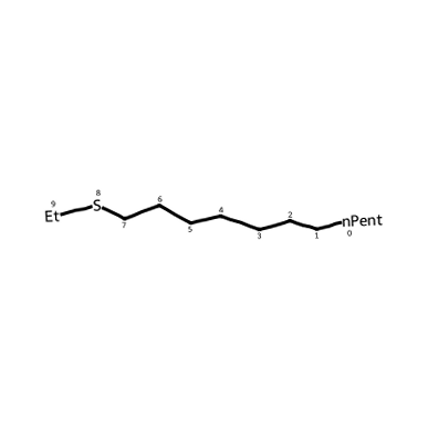 CCCCCCCCCCCCSCC